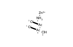 CC(=O)[O-].CC(=O)[O-].Cl.N.[Zn+2]